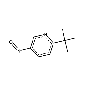 CC(C)(C)c1ccc(N=O)cn1